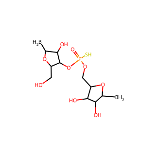 BC1OC(COP(=O)(S)OC2C(CO)OC(B)C2O)C(O)C1O